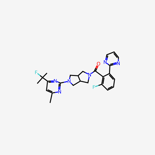 Cc1cc(C(C)(C)F)nc(N2CC3CN(C(=O)c4c(F)cccc4-c4ncccn4)CC3C2)n1